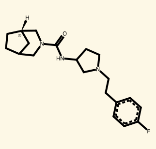 O=C(NC1CCN(CCc2ccc(F)cc2)C1)N1CC2CC[C@@H](C2)C1